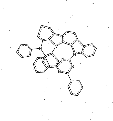 c1ccc(-c2nc(-c3ccccc3)nc(-n3c4ccccc4c4ccc5c6cccc7c6n(c5c43)-c3ccccc3N7c3ccccc3)n2)cc1